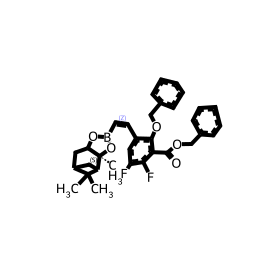 CC1(C)C2CC3OB(/C=C\c4cc(F)c(F)c(C(=O)OCc5ccccc5)c4OCc4ccccc4)O[C@@]3(C)C1C2